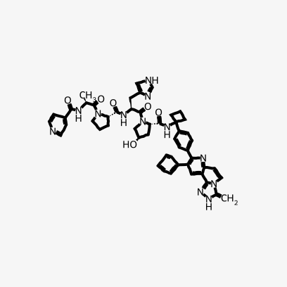 C=C1NN=C2c3cc(-c4ccccc4)c(-c4ccc(C5(NC(=O)[C@@H]6C[C@@H](O)CN6C(=O)[C@H](Cc6c[nH]cn6)NC(=O)[C@@H]6CCCN6C(=O)[C@@H](C)NC(=O)c6ccncc6)CCC5)cc4)nc3C=CN12